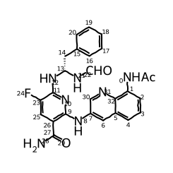 CC(=O)Nc1cccc2cc(Nc3nc(N[C@H](Cc4ccccc4)NC=O)c(F)cc3C(N)=O)cnc12